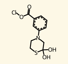 O=C(OCl)c1cccc(N2CCSC(O)(O)C2)c1